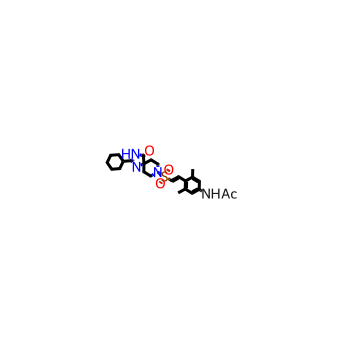 CC(=O)Nc1cc(C)c(C=CS(=O)(=O)N2CCC3(CC2)N=C(C2CCCCC2)NC3=O)c(C)c1